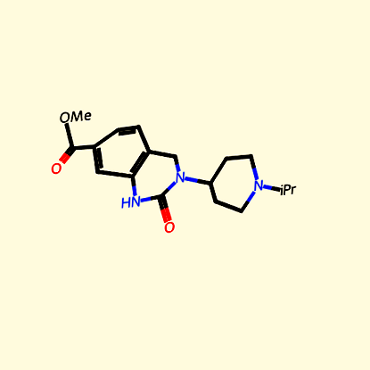 COC(=O)c1ccc2c(c1)NC(=O)N(C1CCN(C(C)C)CC1)C2